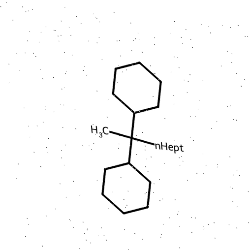 CCCCCCCC(C)(C1CCCCC1)C1CCCCC1